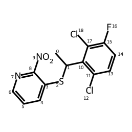 CC(Sc1cccnc1[N+](=O)[O-])c1c(Cl)ccc(F)c1Cl